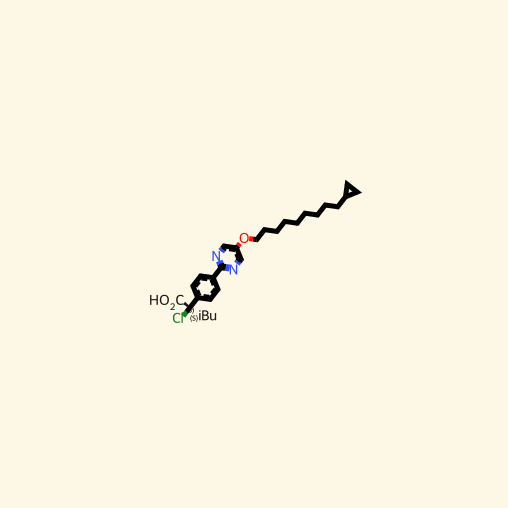 CC[C@H](C)[C@@](Cl)(C(=O)O)c1ccc(-c2ncc(OCCCCCCCCCC3CC3)cn2)cc1